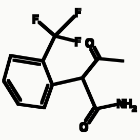 CC(=O)C(C(N)=O)c1ccccc1C(F)(F)F